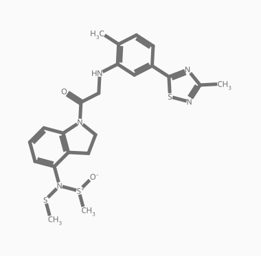 CSN(c1cccc2c1CCN2C(=O)CNc1cc(-c2nc(C)ns2)ccc1C)[S+](C)[O-]